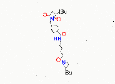 CCC(C)[C@@H]1CCN(C(=O)CCCCCNC(=O)C2CCC(CN3C(=O)CC(C(C)(C)C)C3=O)CC2)C1